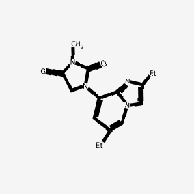 CCc1cc(N2CC(=O)N(C)C2=O)c2nc(CC)cn2c1